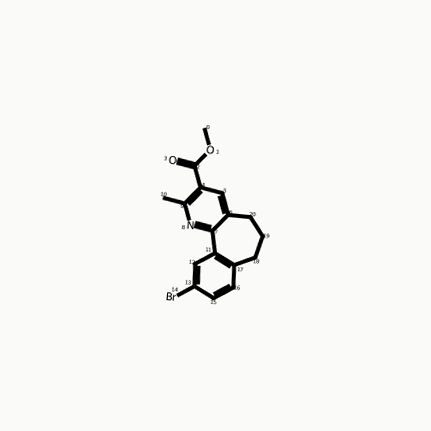 COC(=O)c1cc2c(nc1C)-c1cc(Br)ccc1CCC2